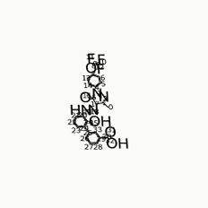 CC1=NN(c2ccc(OC(F)(F)F)cc2)C(=O)/C1=N\Nc1cccc(-c2cccc(C(=O)O)c2)c1O